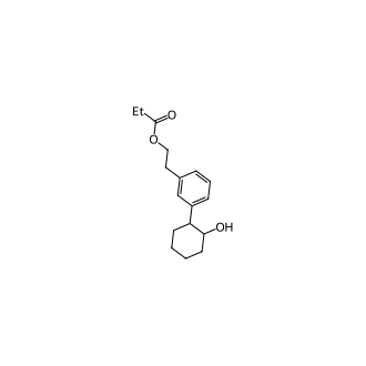 CCC(=O)OCCc1cccc(C2CCCCC2O)c1